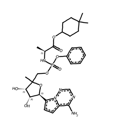 C[C@H](NP(=O)(OCC1(C)O[C@@H](c2ccc3c(N)ncnn23)[C@H](O)[C@@H]1O)Oc1ccccc1)C(=O)OC1CCC(C)(C)CC1